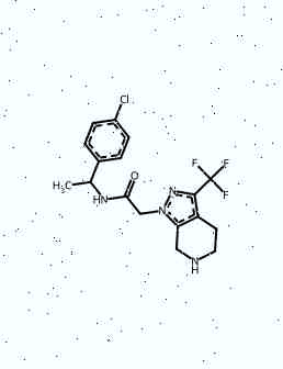 CC(NC(=O)Cn1nc(C(F)(F)F)c2c1CNCC2)c1ccc(Cl)cc1